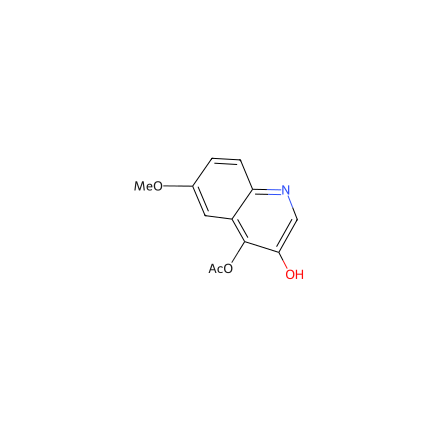 COc1ccc2ncc(O)c(OC(C)=O)c2c1